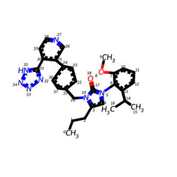 CCCc1cn(-c2c(OC)cccc2C(C)C)c(=O)n1Cc1ccc(-c2cnccc2-c2nnn[nH]2)cc1